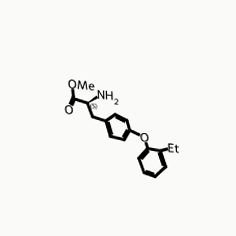 CCc1ccccc1Oc1ccc(C[C@H](N)C(=O)OC)cc1